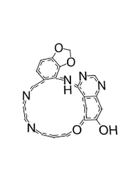 Oc1cc2ncnc3[nH]c4c5c(ccc4cnccncccoc1cc23)OCO5